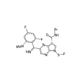 CNc1cc(F)cc(F)c1C(=N)c1cnc2c(n1)c(C(=O)NC(C)C)cn2SF